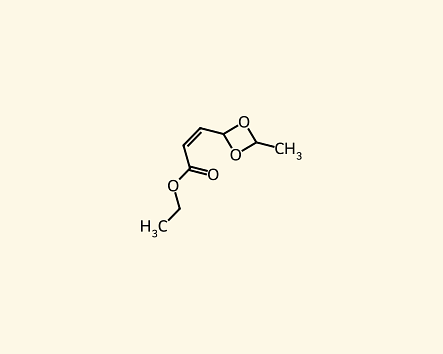 CCOC(=O)/C=C\C1OC(C)O1